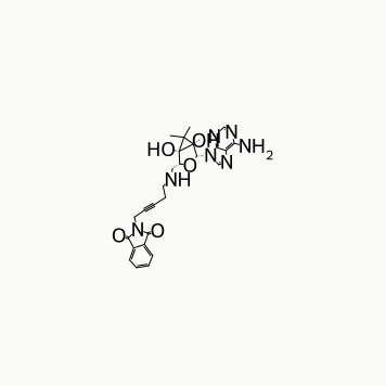 CC1(C)[C@]2(O)[C@@H](CNCCC#CCN3C(=O)c4ccccc4C3=O)O[C@@H](n3cnc4c(N)ncnc43)[C@]12O